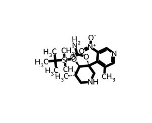 Cc1cncc([N+](=O)[O-])c1[C@@]1(OC(N)=O)CNC[C@H](C)[C@H]1O[Si](C)(C)C(C)(C)C